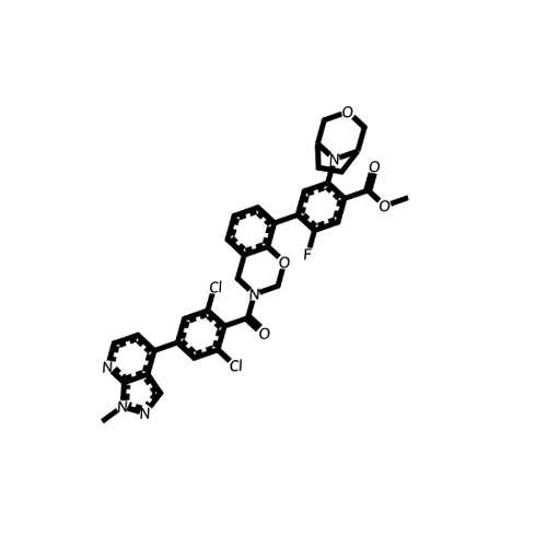 COC(=O)c1cc(F)c(-c2cccc3c2OCN(C(=O)c2c(Cl)cc(-c4ccnc5c4cnn5C)cc2Cl)C3)cc1N1C2CCC1COC2